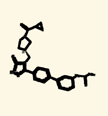 CNC(=O)Nc1cccc(-c2ccc(-c3n[nH]c(=O)n3C[C@@H]3CCN(C(=O)C4CC4)C3)cc2)c1